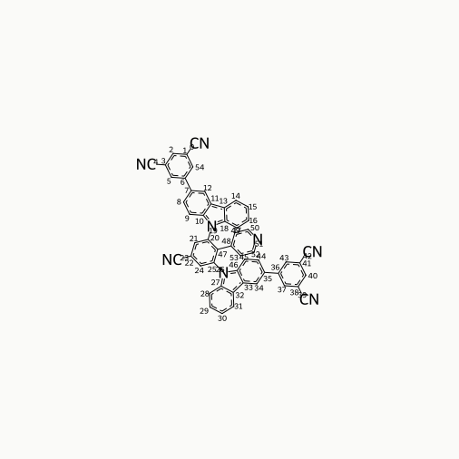 N#Cc1cc(C#N)cc(-c2ccc3c(c2)c2ccccc2n3-c2cc(C#N)cc(-n3c4ccccc4c4cc(-c5cc(C#N)cc(C#N)c5)ccc43)c2-c2ccncc2)c1